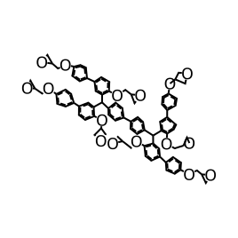 c1cc(-c2ccc(OCC3CO3)c(C(c3ccc(-c4ccc(C(c5cc(-c6ccc(OCC7CO7)cc6)ccc5OCC5CO5)c5cc(-c6ccc(OCC7CO7)cc6)ccc5OC5COC5)cc4)cc3)c3cc(-c4ccc(OC5COC5)cc4)ccc3OCC3CO3)c2)ccc1OCC1CO1